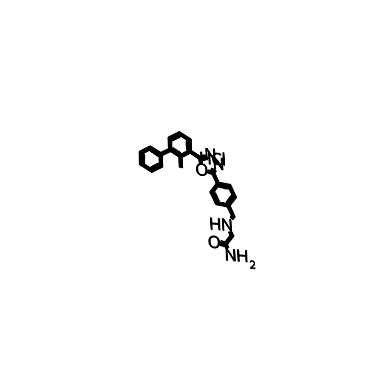 Cc1c(-c2ccccc2)cccc1-c1nnc(-c2ccc(CNCC(N)=O)cc2)o1.Cl